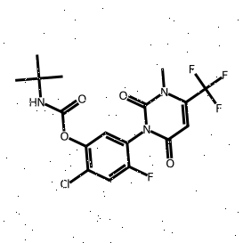 Cn1c(C(F)(F)F)cc(=O)n(-c2cc(OC(=O)NC(C)(C)C)c(Cl)cc2F)c1=O